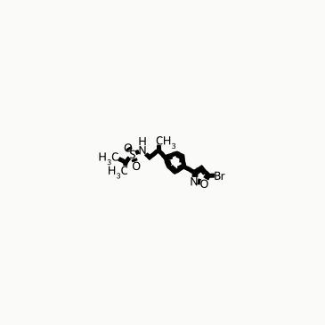 CC(CNS(=O)(=O)C(C)C)c1ccc(-c2cc(Br)on2)cc1